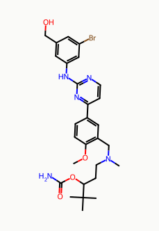 COc1ccc(-c2ccnc(Nc3cc(Br)cc(CO)c3)n2)cc1CN(C)CCC(OC(N)=O)C(C)(C)C